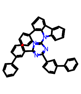 c1ccc(-c2cccc(-c3nc(-c4cccc(-c5ccccc5)c4)nc(-n4c5ccccc5c5cccc(-c6ccccc6)c54)n3)c2)cc1